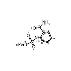 CCCCCS(N)(=O)=O.NC(=O)c1ccccc1